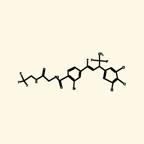 CC(F)(F)C(/C=C(\F)c1ccc(C(=O)NCC(=O)NCC(F)(F)F)c(Br)c1)c1cc(Cl)c(Cl)c(Cl)c1